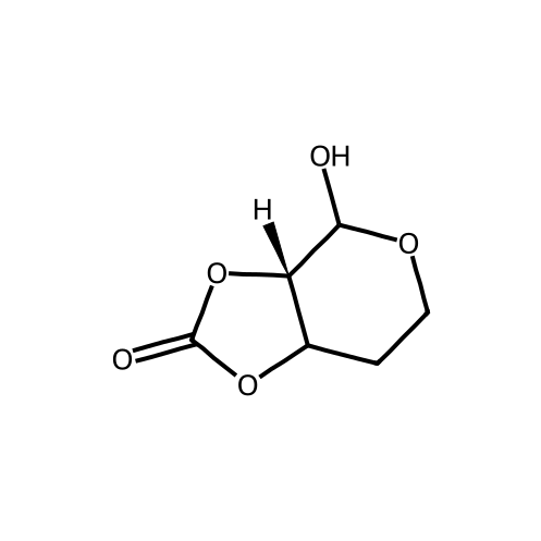 O=C1OC2CCOC(O)[C@H]2O1